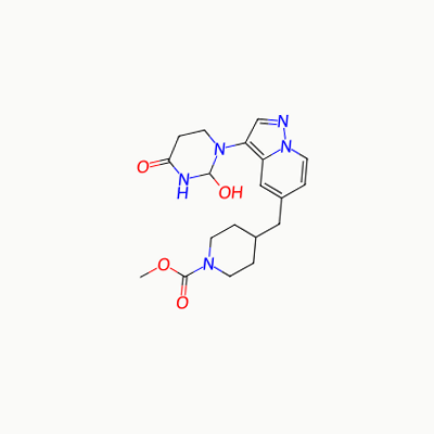 COC(=O)N1CCC(Cc2ccn3ncc(N4CCC(=O)NC4O)c3c2)CC1